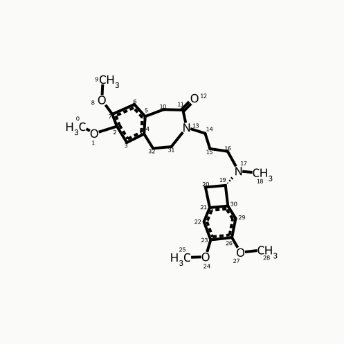 COc1cc2c(cc1OC)CC(=O)N(CCCN(C)[C@H]1Cc3cc(OC)c(OC)cc31)CC2